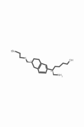 CC(C)(C)CCSC[C@H]1CCc2cc([C@H](CN)CCCCO)ccc2C1